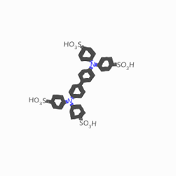 O=S(=O)(O)c1ccc(N(c2ccc(-c3ccc(N(c4ccc(S(=O)(=O)O)cc4)c4ccc(S(=O)(=O)O)cc4)cc3)cc2)c2ccc(S(=O)(=O)O)cc2)cc1